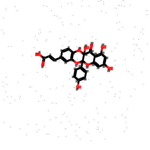 O=C(O)/C=C/c1ccc2c(c1)OC1(c3ccc(O)cc3)Oc3cc(O)cc(O)c3C(=O)C1(O)O2